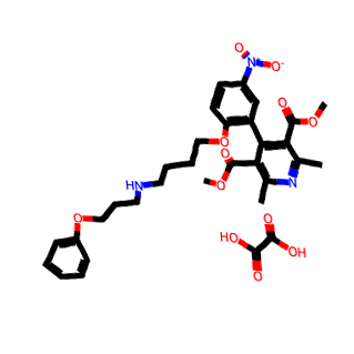 COC(=O)c1c(C)nc(C)c(C(=O)OC)c1-c1cc([N+](=O)[O-])ccc1OCCCCNCCCOc1ccccc1.O=C(O)C(=O)O